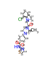 C[C@@H]1CN(c2ccc(S(=O)(=O)Nc3nccs3)cc2)CCN1C(=O)Cn1ccc2cccc(Cl)c21